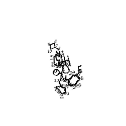 O=C(O[C@H]1C[N+]2(CC3CCC3)CCC1CC2)N(Cc1cccs1)c1cccc(F)c1